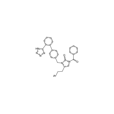 CC(C)CCc1cn(C(=O)c2ccccc2)c(=O)n1Cc1ccc(-c2ccccc2-c2nnn[nH]2)cc1